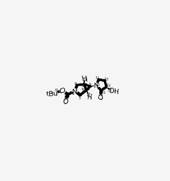 CC(C)(C)OC(=O)N1C[C@@H]2[C@H](C1)[C@@H]2N1CC[C@@H](O)C1=O